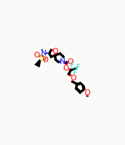 COc1ccc(COCC(OC(=O)N2CCC3(CC2)C[C@@H](N(C)S(=O)(=O)C2CC2)CO3)C(F)(F)F)cc1